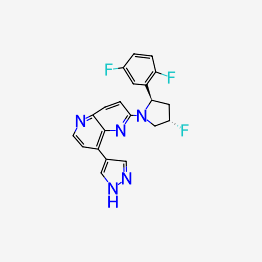 Fc1ccc(F)c([C@H]2C[C@H](F)CN2c2ccc3nccc(-c4cn[nH]c4)c3n2)c1